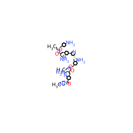 CCCN(OCc1ccc(N)c(CSc2cncc(-c3ccc4c(c3)N=C(N)CC(C(=O)N(CCC)OCc3ccc(N)cc3)=C4)c2)c1)C(=O)C1=Cc2ccc(C(=O)N3CCN(C)CC3)cc2N=C(N)C1